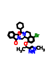 C[C@H](Oc1ccc(Br)c2c1[C@@H](CN1Cc3ccccc3C1=O)N(C(=O)C1CCCCC1)CC2)c1cn(C)nn1